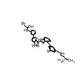 CC(C)CC(O)Nc1cncc(-c2ccc3[nH]nc(-c4cc5c(-c6cc(F)cc(NCCN(C)C)c6)cccc5[nH]4)c3n2)c1